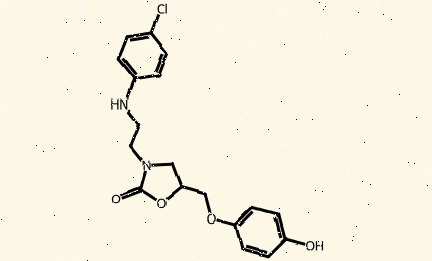 O=C1OC(COc2ccc(O)cc2)CN1CCNc1ccc(Cl)cc1